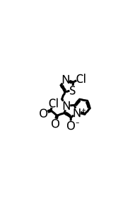 O=C(Cl)C(=O)c1c([O-])[n+]2ccccc2n1Cc1cnc(Cl)s1